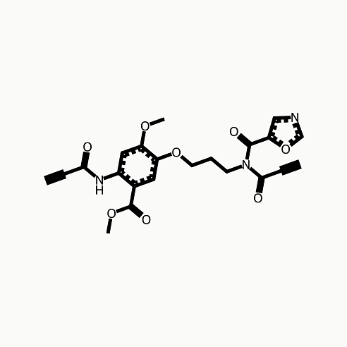 C#CC(=O)Nc1cc(OC)c(OCCCN(C(=O)C#C)C(=O)c2cnco2)cc1C(=O)OC